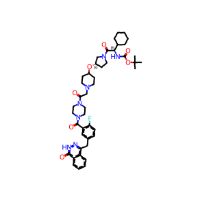 CC(C)(C)OC(=O)N[C@@H](C(=O)N1CC[C@H](OC2CCN(CC(=O)N3CCN(C(=O)c4cc(Cc5n[nH]c(=O)c6ccccc56)ccc4F)CC3)CC2)C1)C1CCCCC1